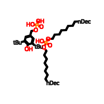 CC(C)(C)c1cc(COP(=O)(O)O)cc(C(C)(C)C)c1O.CCCCCCCCCCCCCCCCCCOP(=O)(O)OCCCCCCCCCCCCCCCCCC